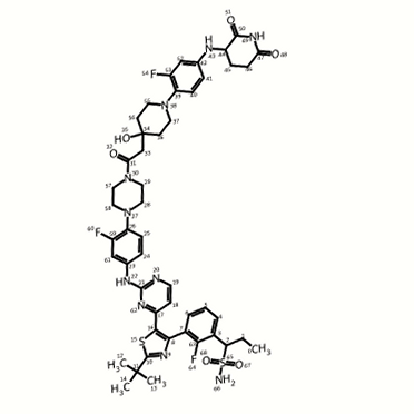 CCC(c1cccc(-c2nc(C(C)(C)C)sc2-c2ccnc(Nc3ccc(N4CCN(C(=O)CC5(O)CCN(c6ccc(NC7CCC(=O)NC7=O)cc6F)CC5)CC4)c(F)c3)n2)c1F)S(N)(=O)=O